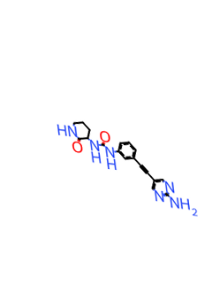 Nc1ncc(C#Cc2cccc(NC(=O)NC3CCCNC3=O)c2)cn1